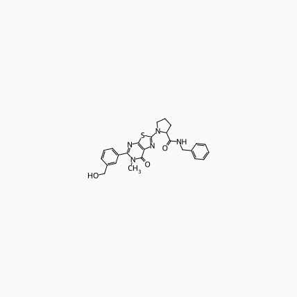 Cn1c(-c2cccc(CO)c2)nc2sc(N3CCCC3C(=O)NCc3ccccc3)nc2c1=O